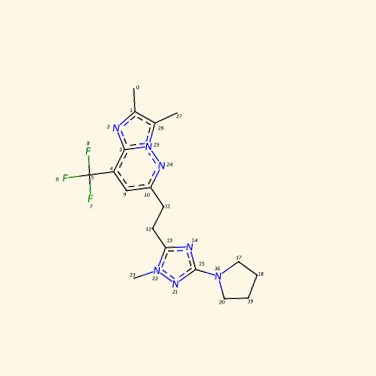 Cc1nc2c(C(F)(F)F)cc(CCc3nc(N4CCCC4)nn3C)nn2c1C